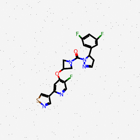 O=C(N1CC(Oc2cc(-c3cnsc3)ncc2F)C1)N1N=CCC1c1cc(F)cc(F)c1